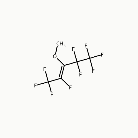 CO/C(=C(/F)C(F)(F)F)C(F)(F)C(F)(F)F